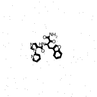 NC(=O)C(=O)C(Cc1coc2ccccc12)NC(=O)c1cncn1-c1ccccn1